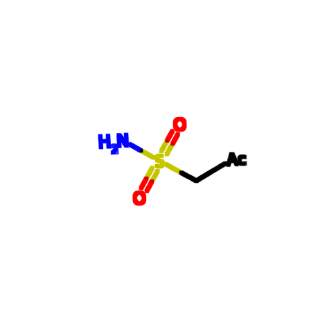 [CH2]C(=O)CS(N)(=O)=O